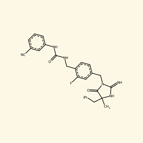 CC(C)CC1(C)NC(=N)N(Cc2ccc(CNC(=O)Nc3cccc(C#N)c3)c(F)c2)C1=O